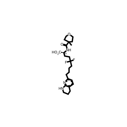 CC1(C(=O)N[C@@H](CCC(F)(F)CCCCc2ccc3c(n2)NCCC3)C(=O)O)CCOCC1